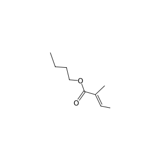 C/C=C(\C)C(=O)OCCCC